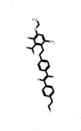 CCOc1cc(C)c(CCc2ccc(/C(F)=C(\F)c3ccc(CCF)cc3)cc2)c(C(F)F)c1F